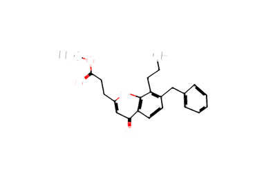 CCCc1c(Cc2ccccc2)ccc2c(=O)cc(CCC(=O)OC)oc12